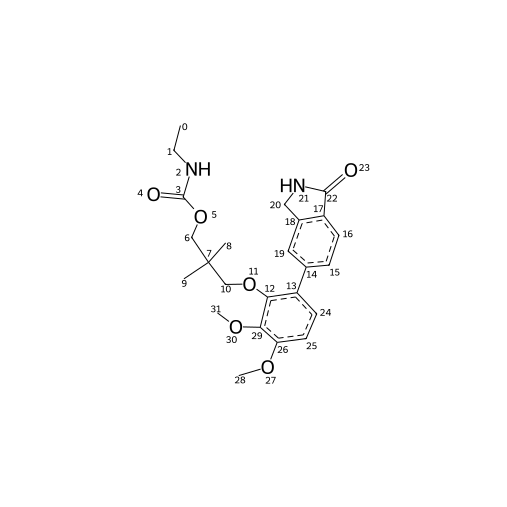 CCNC(=O)OCC(C)(C)COc1c(-c2ccc3c(c2)CNC3=O)ccc(OC)c1OC